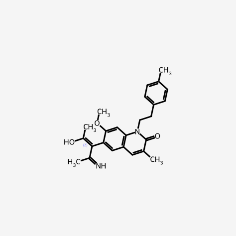 COc1cc2c(cc1/C(C(C)=N)=C(\C)O)cc(C)c(=O)n2CCc1ccc(C)cc1